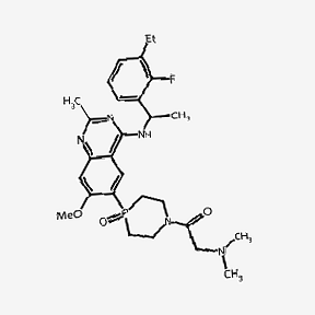 CCc1cccc([C@@H](C)Nc2nc(C)nc3cc(OC)c(P4(=O)CCN(C(=O)CN(C)C)CC4)cc23)c1F